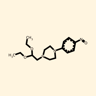 CCOC(CN1CCN(c2ccc(N=O)cc2)CC1)OCC